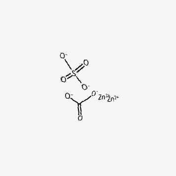 O=C([O-])[O-].O=S(=O)([O-])[O-].[Zn+2].[Zn+2]